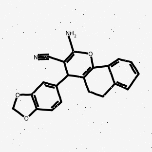 N#CC1=C(N)OC2=C(CCc3ccccc32)C1c1ccc2c(c1)OCO2